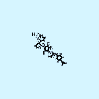 Nc1nccc(-c2cccnc2Oc2cc(F)c(NSN(O)Cc3ccc(C4CC4)cc3)c(F)c2F)n1